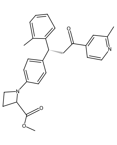 COC(=O)C1CCN1c1ccc([C@@H](CC(=O)c2ccnc(C)c2)c2ccccc2C)cc1